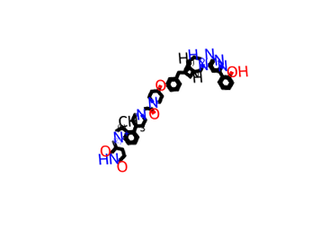 C[C@@H]1C/[N+](=C/C2CCC(=O)NC2=O)c2cccc(C3CCN(CC(=O)N4CCC(Oc5cccc(CC67C[C@H]8CN(c9cc(-c%10ccccc%10O)nnc9N)CC[C@H]6C87)c5)CC4)CC3)c21